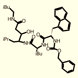 CCC(C)CNC(=O)CC(O)C(CC(C)C)NC(=O)[C@@H](NC(=O)[C@H](Cc1cccc2ccccc12)NC(=O)OCc1ccccc1)C(C)CC